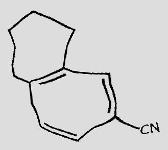 N#Cc1ccc2c(c1)CCCC2